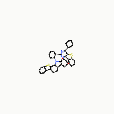 c1ccc(-c2nc(-c3ccccc3-n3c4ccccc4c4ccc5c6ccccc6sc5c43)nc3c2sc2ccccc23)cc1